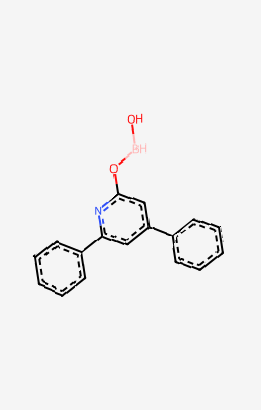 OBOc1cc(-c2ccccc2)cc(-c2ccccc2)n1